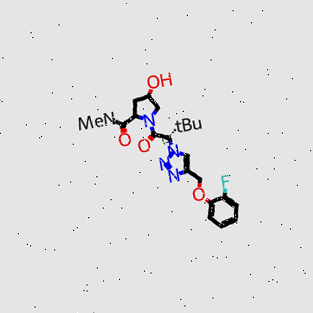 CNC(=O)C1CC(O)CN1C(=O)[C@@H](n1cc(COc2ccccc2F)nn1)C(C)(C)C